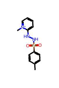 Cc1ccc(S(=O)(=O)NNc2cccc[n+]2C)cc1